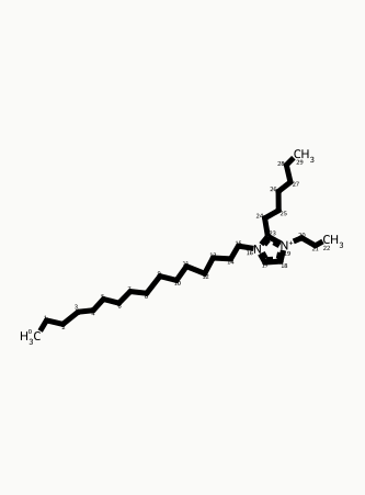 CCCCCCCCCCCCCCCCn1cc[n+](CCC)c1CCCCCC